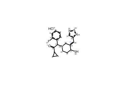 Cl.O=C(C1CC1)C(c1ccccc1F)N1CCC(S)/C(=C/c2cnsn2)C1